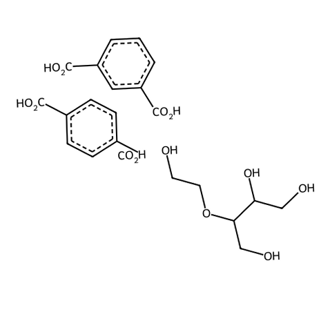 O=C(O)c1ccc(C(=O)O)cc1.O=C(O)c1cccc(C(=O)O)c1.OCCOC(CO)C(O)CO